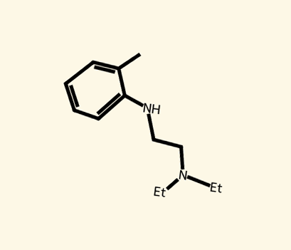 CCN(CC)CCNc1ccccc1C